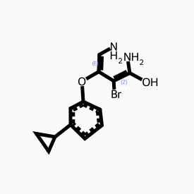 N/C=C(Oc1cccc(C2CC2)c1)\C(Br)=C(/N)O